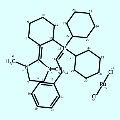 CN1CCN(C)C1=C1CCCCC1P(=CCc1ccccc1)(C1CCCCC1)C1CCCCC1.[Cl][Ru][Cl]